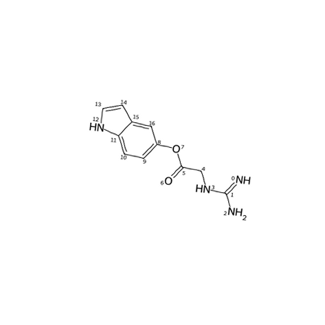 N=C(N)NCC(=O)Oc1ccc2[nH]ccc2c1